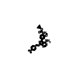 COc1cc(-c2nn(CCN3CCC(N(C)C)CC3)c3ncnc(N)c23)ccc1NC(=O)OC1CC1